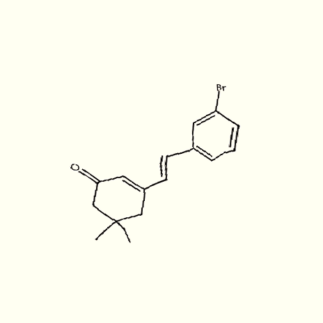 CC1(C)CC(=O)C=C(/C=C/c2cccc(Br)c2)C1